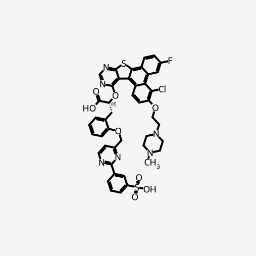 CN1CCN(CCOc2ccc3c(c2Cl)c2cc(F)ccc2c2sc4ncnc(O[C@H](Cc5ccccc5OCc5ccnc(-c6cccc(S(=O)(=O)O)c6)n5)C(=O)O)c4c32)CC1